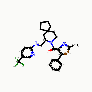 Cc1nc(C(=O)N2CCC3(CCCC3)CC2CNc2ccc(C(F)(F)F)cn2)c(-c2ccccc2)s1